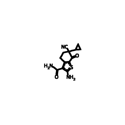 N#CC1(C2CC2)CCc2c(sc(N)c2C(N)=O)C1=O